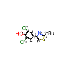 CC(C)(C)c1nc(-c2cc(Cl)c(O)c(Cl)c2)cs1